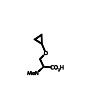 CN[C@@H](COC1CC1)C(=O)O